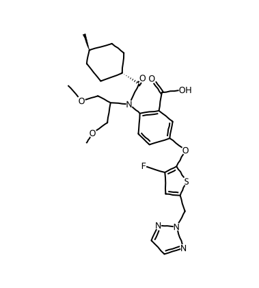 COCC(COC)N(c1ccc(Oc2sc(Cn3nccn3)cc2F)cc1C(=O)O)C(=O)[C@H]1CC[C@H](C)CC1